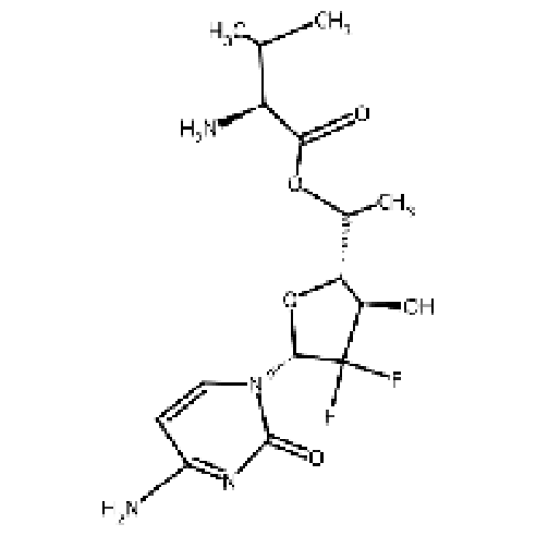 CC(C)[C@H](N)C(=O)OC(C)[C@H]1O[C@@H](n2ccc(N)nc2=O)C(F)(F)[C@@H]1O